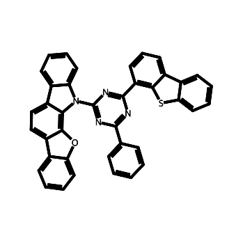 c1ccc(-c2nc(-c3cccc4c3sc3ccccc34)nc(-n3c4ccccc4c4ccc5c6ccccc6oc5c43)n2)cc1